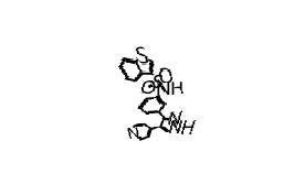 O=S(=O)(Nc1cccc(-c2n[nH]cc2-c2ccncc2)c1)c1csc2ccccc12